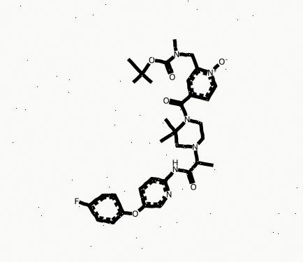 CC(C(=O)Nc1ccc(Oc2ccc(F)cc2)cn1)N1CCN(C(=O)c2cc[n+]([O-])c(CN(C)C(=O)OC(C)(C)C)c2)C(C)(C)C1